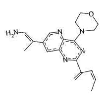 C=C(/C=C\C)c1nc(N2CCOCC2)c2ncc(/C(C)=C/N)cc2n1